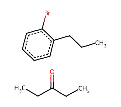 CCC(=O)CC.CCCc1ccccc1Br